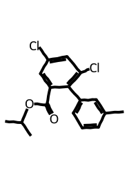 Cc1cccc(-c2c(Cl)cc(Cl)cc2C(=O)OC(C)C)c1